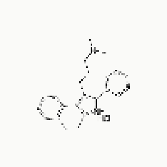 CN(C)CCCc1c(-c2ccccc2)[nH]c2c1-c1ccccc1CC2.Cl